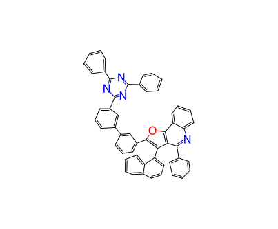 c1ccc(-c2nc(-c3ccccc3)nc(-c3cccc(-c4cccc(-c5oc6c(c(-c7ccccc7)nc7ccccc76)c5-c5cccc6ccccc56)c4)c3)n2)cc1